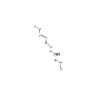 CCC=CCCCNCCC